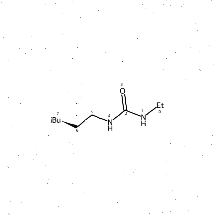 CCNC(=O)NC[CH][C@H](C)CC